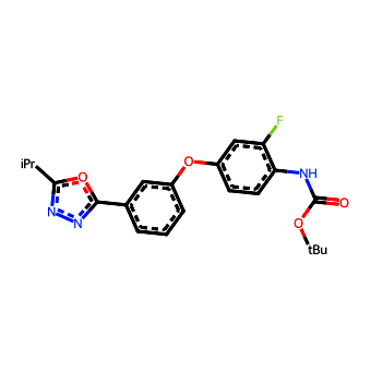 CC(C)c1nnc(-c2cccc(Oc3ccc(NC(=O)OC(C)(C)C)c(F)c3)c2)o1